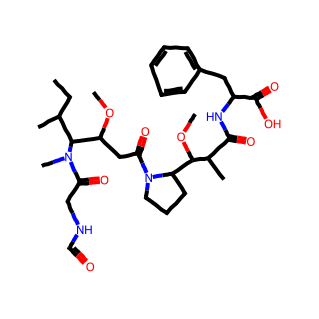 CCC(C)C(C(CC(=O)N1CCCC1C(OC)C(C)C(=O)NC(Cc1ccccc1)C(=O)O)OC)N(C)C(=O)CNC=O